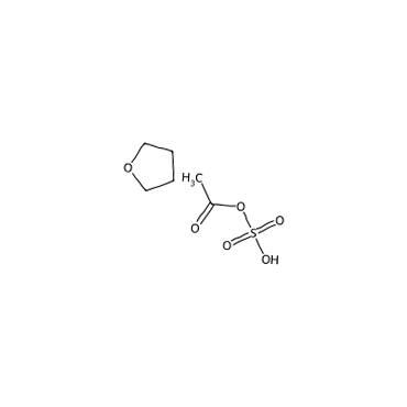 C1CCOC1.CC(=O)OS(=O)(=O)O